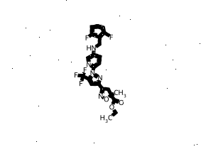 CCOC(=O)C1(C)CC(c2cc(C(F)(F)F)n(-c3ccc(NCc4c(F)cccc4F)cn3)n2)=NO1